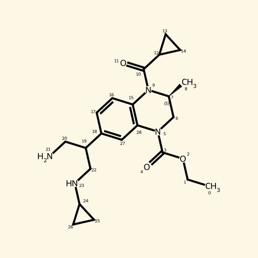 CCOC(=O)N1C[C@H](C)N(C(=O)C2CC2)c2ccc(C(CN)CNC3CC3)cc21